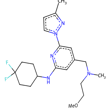 COCCN(C)Cc1cc(NC2CCC(F)(F)CC2)nc(-n2ccc(C)n2)c1